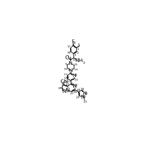 Cc1cc(C(N)C(=O)N2CCN(c3ccc(-c4nc(-c5cnn(C)c5)cn5ncc(C#N)c45)cn3)CC2)ccc1F